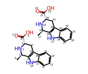 C[C@H]1N[C@H](C(=O)O)Cc2c1[nH]c1ccccc21.C[C@H]1N[C@H](C(=O)O)Cc2c1[nH]c1ccccc21